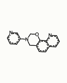 c1cncc(N2COc3c(ccc4cccnc34)C2)c1